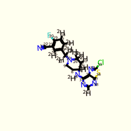 [2H]c1nc(N([2H])C2([2H])CCN(C([2H])([2H])c3c([2H])c([2H])c(F)c(C#N)c3[2H])C([2H])([2H])C2([2H])[2H])c2nc(Cl)sc2n1